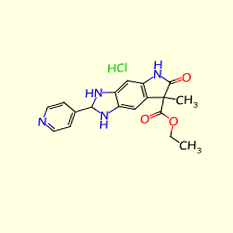 CCOC(=O)C1(C)C(=O)Nc2cc3c(cc21)NC(c1ccncc1)N3.Cl